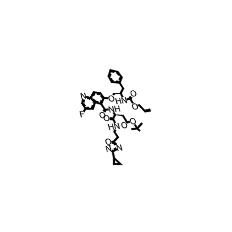 C=CCOC(=O)N[C@@H](COc1ccc2ncc(F)cc2c1C(=O)N[C@@H](CC(=O)OC(C)(C)C)C(=O)NCCc1nc(C2CC2)no1)Cc1ccccc1